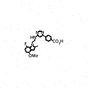 COc1ccc(F)c2c1cc(C)n2CCNc1cc(-c2ccc(C(=O)O)cc2)ncn1